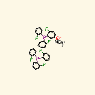 Fc1ccccc1P(c1ccccc1F)c1ccccc1F.Fc1ccccc1P(c1ccccc1F)c1ccccc1F.O=[N+]([O-])[O-].[Cu+]